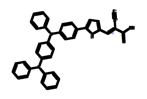 [C-]#[N+]/C(=C\c1ccc(-c2ccc(N(c3ccccc3)c3ccc(N(c4ccccc4)c4ccccc4)cc3)cc2)[nH]1)C(=O)O